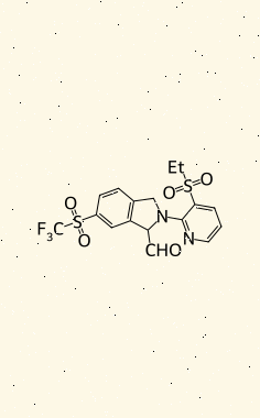 CCS(=O)(=O)c1cccnc1N1Cc2ccc(S(=O)(=O)C(F)(F)F)cc2C1C=O